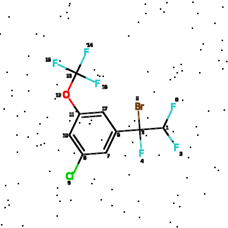 FC(F)C(F)(Br)c1cc(Cl)cc(OC(F)(F)F)c1